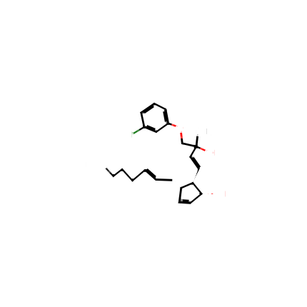 CC(O)(C=C[C@H]1[C@H](O)C=C[C@@H]1CC=CCCCC(=O)O)COc1cccc(Cl)c1